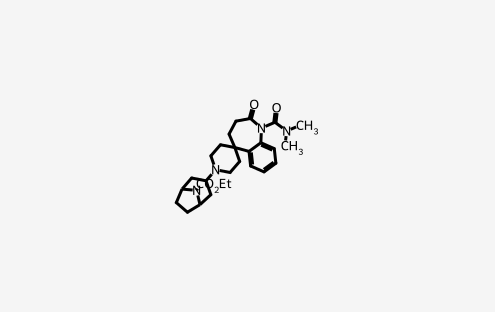 CCOC(=O)N1C2CCC1CC(N1CCC3(CCC(=O)N(C(=O)N(C)C)c4ccccc43)CC1)C2